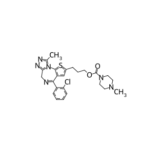 Cc1nnc2n1-c1sc(CCCOC(=O)N3CCN(C)CC3)cc1C(c1ccccc1Cl)=NC2